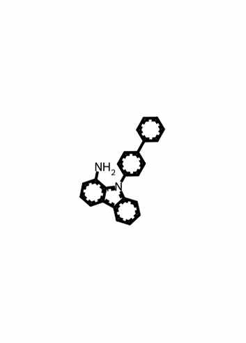 Nc1cccc2c3ccccc3n(-c3ccc(-c4ccccc4)cc3)c12